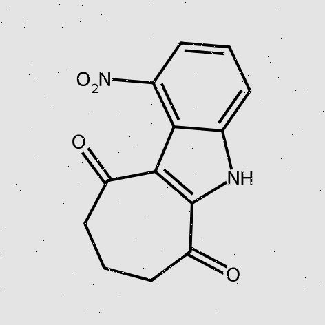 O=C1CCCC(=O)c2c1[nH]c1cccc([N+](=O)[O-])c21